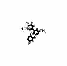 Cc1ccc(Oc2ccc(F)cc2F)c(-c2cc(F)c(=O)n(C)c2)c1